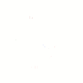 CN(C(=O)O)C(c1cc(Br)cc(Cl)c1Sc1ccccc1CO)C1c2ccccc2-c2ccccc21